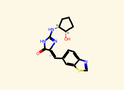 O=C1NC(N[C@@H]2CCC[C@@H]2O)=N/C1=C\c1ccc2ncsc2c1